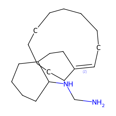 NCNC1CCCCC1CC/C1=C\CCCCCCCCCC1